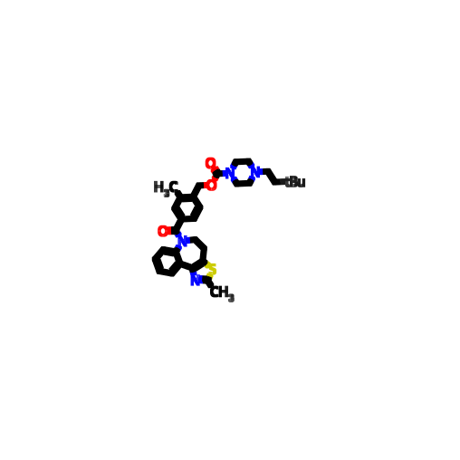 Cc1nc2c(s1)CCN(C(=O)c1ccc(COC(=O)N3CCN(CCC(C)(C)C)CC3)c(C)c1)c1ccccc1-2